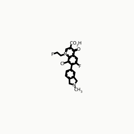 CN1Cc2ccc(-c3c(F)cc4c(=O)c(C(=O)O)cn(CCF)c4c3Cl)cc2C1